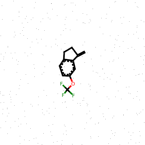 C=C1CCc2ccc(OC(F)(F)F)cc21